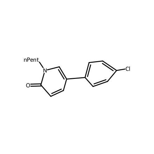 CCCCCn1cc(-c2ccc(Cl)cc2)ccc1=O